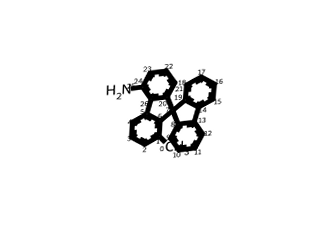 Cc1cccc2c1C1(c3ccccc3-c3ccccc31)c1cccc(N)c1-2